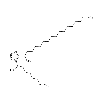 CCCCCCCCCCCCCCCCC(C)c1nccn1C(C)CCCCCCC